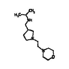 CC(C)NCC1CCN(CCN2CCOCC2)C1